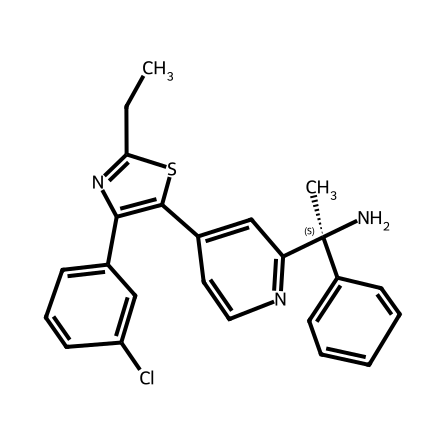 CCc1nc(-c2cccc(Cl)c2)c(-c2ccnc([C@@](C)(N)c3ccccc3)c2)s1